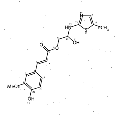 COc1cc(/C=C/C(=O)OCC(O)Nc2ncc(C)s2)ccc1O